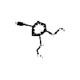 CCNc1cc(C#N)ccc1OC